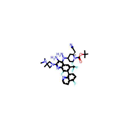 CN(C)C1(C)CN(c2nc3c(F)c(-c4ccc(F)c5cccnc45)c(C(F)(F)F)cc3c(N(N)C3CCN(C(=O)OC(C)(C)C)[C@H](CC#N)C3)c2N)C1